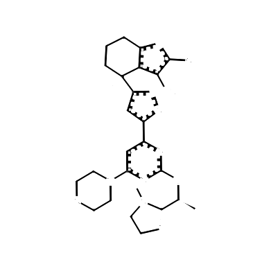 C[C@H](Oc1nc(-c2cc([C@@]3(C)CCCc4sc(N)c(C#N)c43)sn2)cc(N2CCNCC2)n1)[C@@H]1CCCN1C